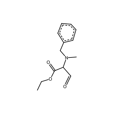 CCOC(=O)C(C=O)N(C)Cc1ccccc1